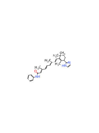 CC1=C(/C=C/C(C)=C/C=C/C(C)=C/C(=O)Nc2ccccc2)C(C)(C)CCC1c1ncc[nH]1